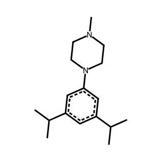 CC(C)c1cc(C(C)C)cc(N2CCN(C)CC2)c1